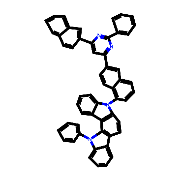 c1ccc(-c2nc(-c3ccc4ccccc4c3)cc(-c3ccc4c(-n5c6ccccc6c6c5ccc5c7ccccc7n(-c7ccccc7)c56)cccc4c3)n2)cc1